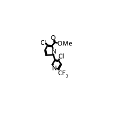 COC(=O)c1nc(-c2cnc(C(F)(F)F)cc2Cl)ccc1Cl